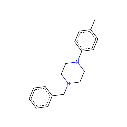 Cc1ccc(N2CCN(Cc3ccccc3)CC2)cc1